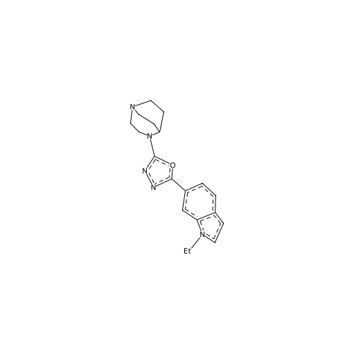 CCn1ccc2ccc(-c3nnc(N4CCN5CCC4CC5)o3)cc21